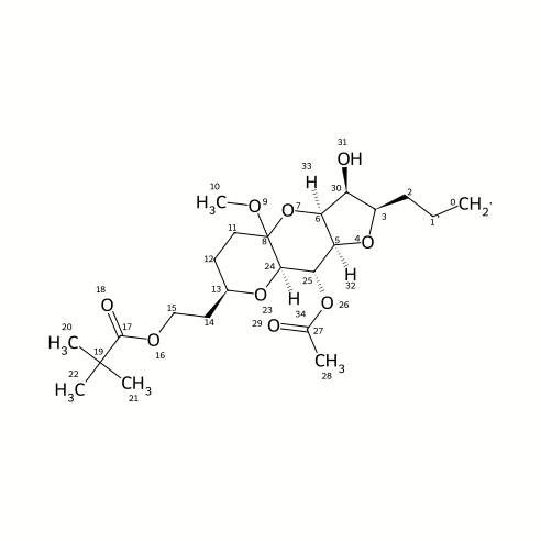 [CH2][CH]C[C@H]1O[C@@H]2[C@@H](OC3(OC)CC[C@H](CCOC(=O)C(C)(C)C)O[C@@H]3[C@H]2OC(C)=O)[C@H]1O